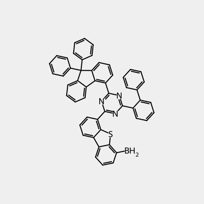 Bc1cccc2c1sc1c(-c3nc(-c4ccccc4-c4ccccc4)nc(-c4cccc5c4-c4ccccc4C5(c4ccccc4)c4ccccc4)n3)cccc12